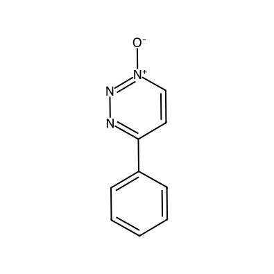 [O-][n+]1ccc(-c2ccccc2)nn1